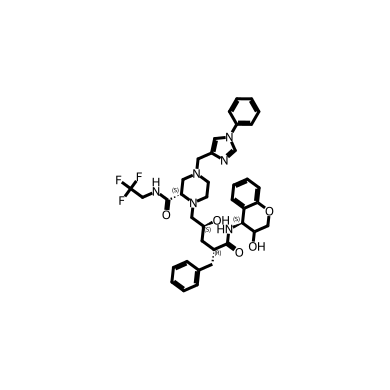 O=C(N[C@H]1c2ccccc2OCC1O)[C@H](Cc1ccccc1)C[C@H](O)CN1CCN(Cc2cn(-c3ccccc3)cn2)C[C@H]1C(=O)NCC(F)(F)F